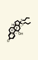 CCCSC1(SCCC)CC[C@H]2[C@@H]3CCC4=CC(=O)C=C[C@]4(C)C3(F)[C@@H](O)C[C@@]21C